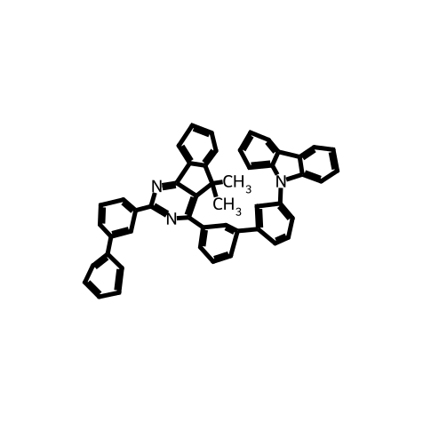 CC1(C)c2ccccc2-c2nc(-c3cccc(-c4ccccc4)c3)nc(-c3cccc(-c4cccc(-n5c6ccccc6c6ccccc65)c4)c3)c21